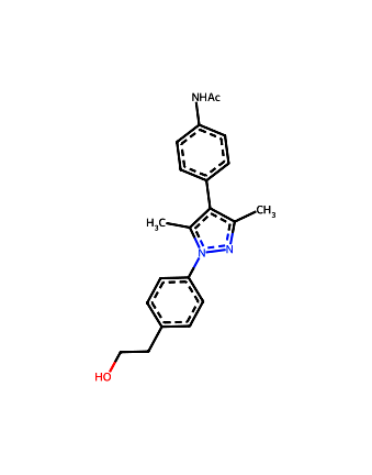 CC(=O)Nc1ccc(-c2c(C)nn(-c3ccc(CCO)cc3)c2C)cc1